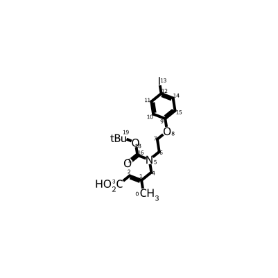 CC(=CC(=O)O)CN(CCOc1ccc(I)cc1)C(=O)OC(C)(C)C